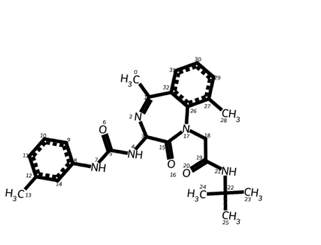 CC1=NC(NC(=O)Nc2cccc(C)c2)C(=O)N(CC(=O)NC(C)(C)C)c2c(C)cccc21